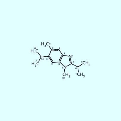 Cc1cc2nc(C(C)C)n(C)c2cc1C(C)C